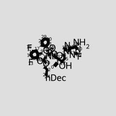 C#C[C@]1(COP(=O)(N[C@@H](Cc2cc(F)cc(F)c2)C(=O)OCCCCCCCCCCCCC)Oc2ccccc2)O[C@@H](n2cnc3c(N)nc(F)nc32)C[C@@H]1O